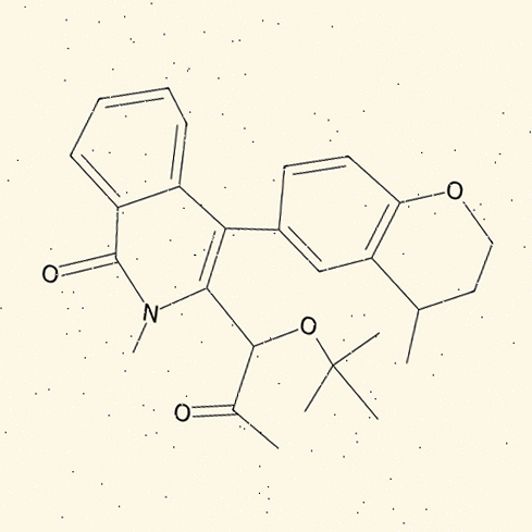 CC(=O)C(OC(C)(C)C)c1c(-c2ccc3c(c2)C(C)CCO3)c2ccccc2c(=O)n1C